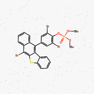 CC(C)(C)OP(=O)(Oc1c(Br)cc(-c2c3ccccc3c(Br)c3sc4ccccc4c23)cc1Br)OC(C)(C)C